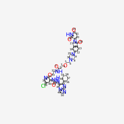 O=C(CCOCCN1CCN(c2ccc3c(c2)CN(C2CCC(=O)NC2=O)C3=O)CC1)NCCOc1ncc(Cl)cc1NC(=O)Nc1cn2ccnc2nc1C1CCCCC1